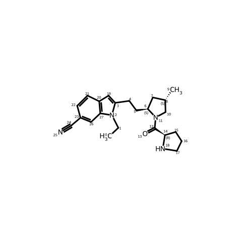 CCn1c(CC[C@H]2C[C@H](C)CN2C(=O)[C@H]2CCCN2)cc2ccc(C#N)cc21